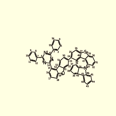 c1ccc(-c2nc(-c3ccccc3)nc(-c3cccc4oc5cc(-c6ccc7sc8cccc(-n9c%10ccccc%10c%10ccccc%109)c8c7c6)ccc5c34)n2)cc1